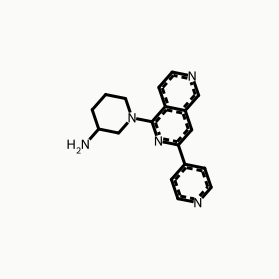 NC1CCCN(c2nc(-c3ccncc3)cc3cnccc23)C1